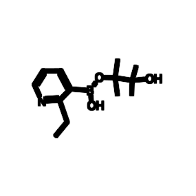 CCc1ncccc1B(O)OC(C)(C)C(C)(C)O